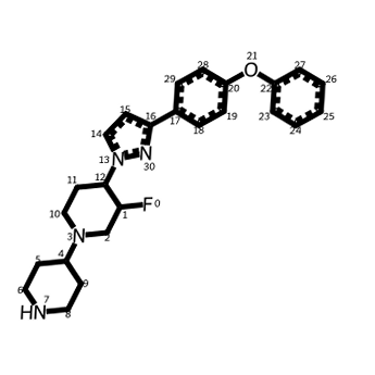 FC1CN(C2CCNCC2)CCC1n1ccc(-c2ccc(Oc3ccccc3)cc2)n1